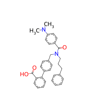 CN(C)c1ccc(C(=O)N(CCCc2ccccc2)Cc2ccc(-c3ccccc3C(=O)O)cc2)cc1